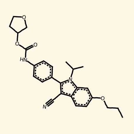 CCCOc1ccc2c(C#N)c(-c3ccc(NC(=O)OC4CCOC4)cc3)n(C(C)C)c2c1